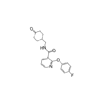 O=C1CCC(CNC(=O)c2cccnc2Oc2ccc(F)cc2)CC1